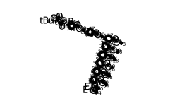 C=COCC.C=COCC.C=COOC1CCCCC1.C=COOC1CCCCC1.C=COOC1CCCCC1.C=COOC1CCCCC1.C=COOC1CCCCC1.C=COOC1CCCCC1.C=COOC1CCCCC1.C=COOC1CCCCC1.CC(C)(C)OC(=O)OC(=O)OC(C)(C)C